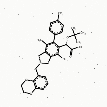 Cc1ccc(-c2c(C)c3c(c(C)c2[C@H](OC(C)(C)C)C(=O)O)CN(Cc2cccc4c2OCCO4)C3)cc1